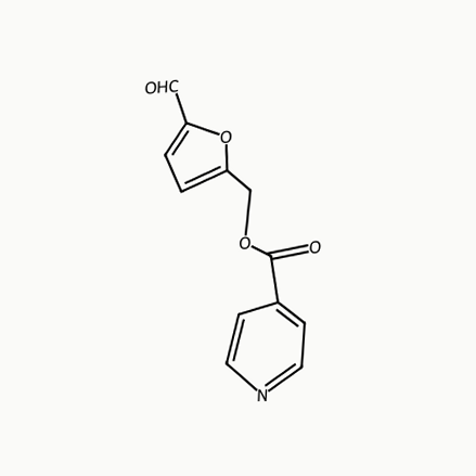 O=Cc1ccc(COC(=O)c2ccncc2)o1